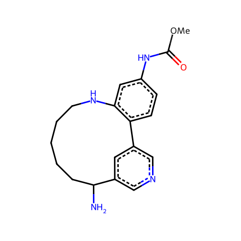 COC(=O)Nc1ccc2c(c1)NCCCCCC(N)c1cncc-2c1